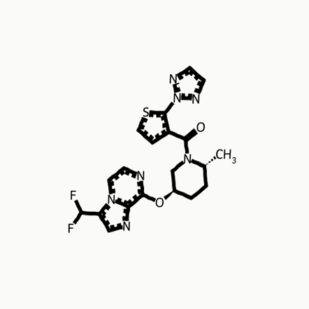 C[C@@H]1CC[C@@H](Oc2nccn3c(C(F)F)cnc23)CN1C(=O)c1ccsc1-n1nccn1